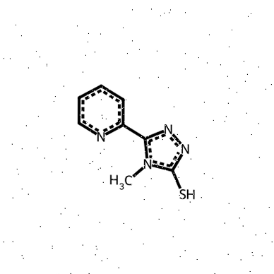 Cn1c(S)nnc1-c1ccccn1